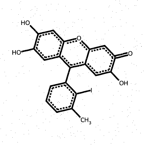 Cc1cccc(-c2c3cc(O)c(=O)cc-3oc3cc(O)c(O)cc23)c1I